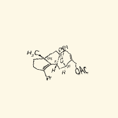 CC(=O)OCC1=C[C@@]2(O)O[C@@H]1C[C@@H]1C3=C(C(C)C)CC[C@]3(C)CC[C@]12C